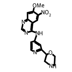 COc1cc2ncnc(Nc3ccnc(C4CNCCO4)c3)c2cc1[N+](=O)[O-]